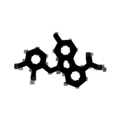 Cc1c[c]c2c3c(C(N)=O)cccc3n(Cc3cccc(Cl)c3Cl)c2c1